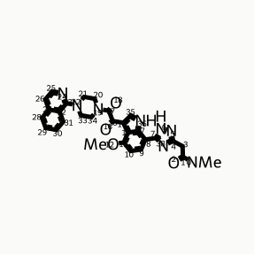 CNC(=O)Cc1n[nH]c(-c2ccc(OC)c3c(C(=O)C(=O)N4CCN(c5nccc6ccccc56)CC4)c[nH]c23)n1